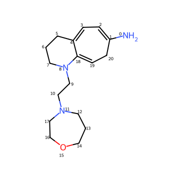 NC1=CC=C2CCCN(CCN3CCCOCC3)C2=CC1